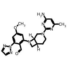 COc1cc(N2C[C@H]3CCN(c4nc(C)cc(N)n4)C[C@H]32)c(C=O)c(-n2nccn2)c1